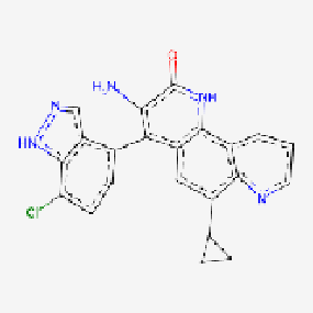 Nc1c(-c2ccc(Cl)c3[nH]ncc23)c2cc(C3CC3)c3ncccc3c2[nH]c1=O